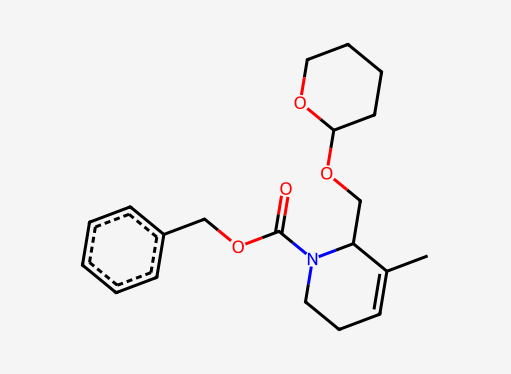 CC1=CCCN(C(=O)OCc2ccccc2)C1COC1CCCCO1